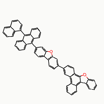 c1ccc2c(-c3c4ccccc4c(-c4ccc5c(c4)oc4cc(-c6ccc7c(c6)c6ccccc6c6c8ccccc8oc76)ccc45)c4ccccc34)cccc2c1